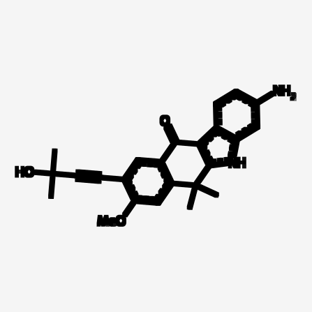 COc1cc2c(cc1C#CC(C)(C)O)C(=O)c1c([nH]c3cc(N)ccc13)C2(C)C